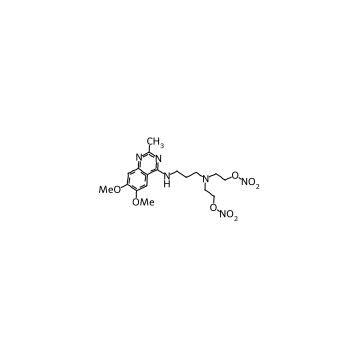 COc1cc2nc(C)nc(NCCCN(CCO[N+](=O)[O-])CCO[N+](=O)[O-])c2cc1OC